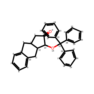 O=C1CC2Cc3ccccc3CC2C1OC(c1ccccc1)(c1ccccc1)c1ccccc1